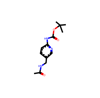 CC(=O)NCc1ccc(NC(=O)OC(C)(C)C)nc1